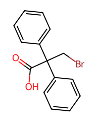 O=C(O)C(CBr)(c1ccccc1)c1ccccc1